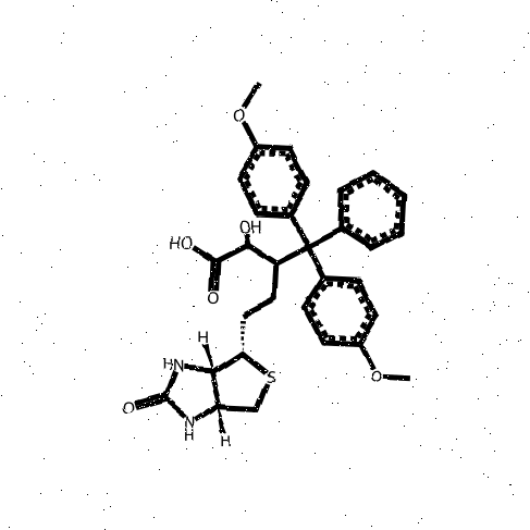 COc1ccc(C(c2ccccc2)(c2ccc(OC)cc2)C(CC[C@@H]2SC[C@@H]3NC(=O)N[C@@H]32)[C](O)C(=O)O)cc1